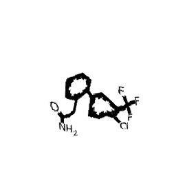 NC(=O)Cc1ccccc1-c1ccc(Cl)c(C(F)(F)F)c1